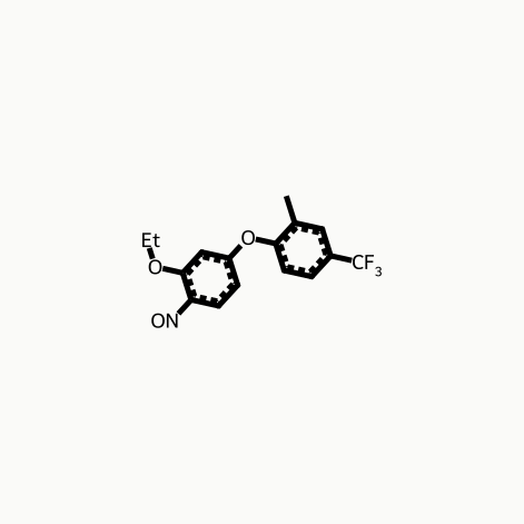 CCOc1cc(Oc2ccc(C(F)(F)F)cc2C)ccc1N=O